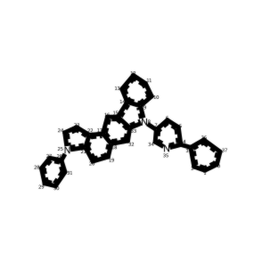 c1ccc(-c2ccc(-n3c4ccccc4c4cc5c(ccc6c5ccn6-c5ccccc5)cc43)cn2)cc1